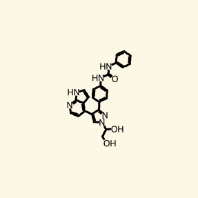 O=C(Nc1ccccc1)Nc1ccc(-c2nn(C(O)CO)cc2-c2ccnc3[nH]ccc23)cc1